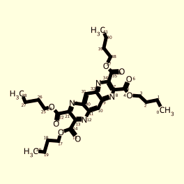 CCCCOC(=O)c1nc2cc3nc(C(=O)OCCCC)c(C(=O)OCCCC)nc3cc2nc1C(=O)OCCCC